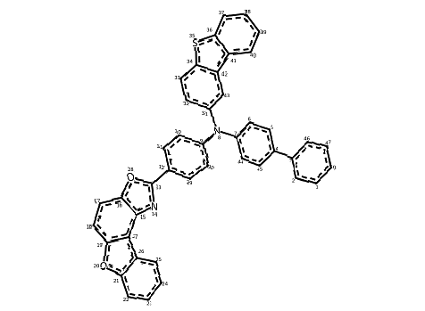 c1ccc(-c2ccc(N(c3ccc(-c4nc5c(ccc6oc7ccccc7c65)o4)cc3)c3ccc4sc5ccccc5c4c3)cc2)cc1